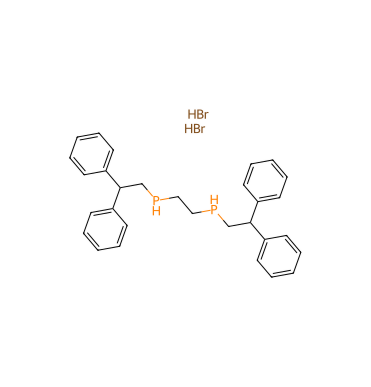 Br.Br.c1ccc(C(CPCCPCC(c2ccccc2)c2ccccc2)c2ccccc2)cc1